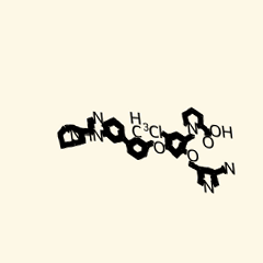 Cc1c(COc2cc(OCc3cncc(C#N)c3)c(CN3CCCCC3C(=O)O)cc2Cl)cccc1-c1ccc2ncc(C3=CC4CCC(C3)N4)nc2c1